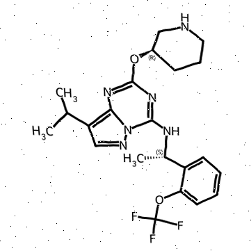 CC(C)c1cnn2c(N[C@@H](C)c3ccccc3OC(F)(F)F)nc(O[C@@H]3CCCNC3)nc12